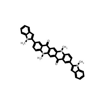 Cn1c(-c2ccc3c(c2)c(=O)c2cc4c(cc2n3C)c(=O)c2cc(-c3cc5ccccc5n3C)ccc2n4C)cc2ccccc21